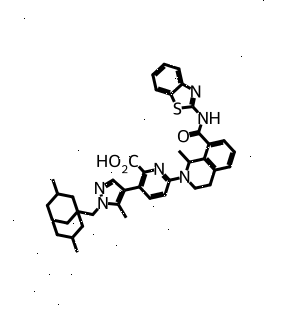 Cc1c(-c2ccc(N3CCc4cccc(C(=O)Nc5nc6ccccc6s5)c4C3C)nc2C(=O)O)cnn1CC12CC(C)CC(CC(C)C1)C2